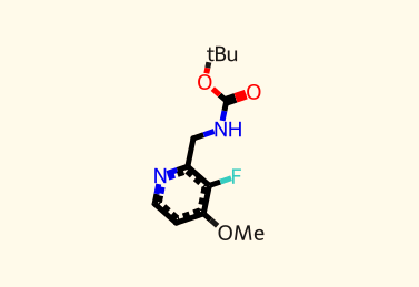 COc1ccnc(CNC(=O)OC(C)(C)C)c1F